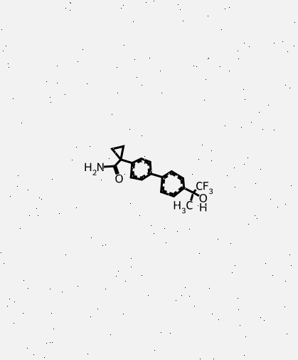 CC(O)(c1ccc(-c2ccc(C3(C(N)=O)CC3)cc2)cc1)C(F)(F)F